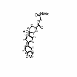 CNC(=O)COC(=O)N1CCC(O)(c2ccc(-c3ccc(OC)c(F)c3)cc2)CC1